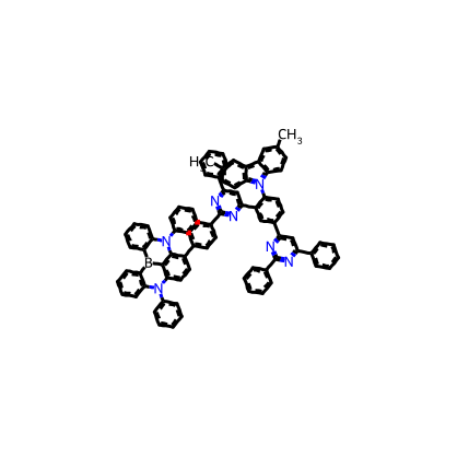 Cc1ccc2c(c1)c1cc(C)ccc1n2-c1ccc(-c2cc(-c3ccccc3)nc(-c3ccccc3)n2)cc1-c1cc(-c2ccccc2)nc(-c2ccc(-c3ccc4c5c3N(c3ccccc3)c3ccccc3B5c3ccccc3N4c3ccccc3)cc2)n1